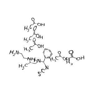 CC(=O)O.CC(=O)O.CC(=O)O.CC(=O)O.CC(=O)O.CC(CNC(N=C=S)c1ccccc1)NCCN